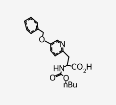 CCCCOC(=O)NC(Cc1ccc(OCc2ccccc2)cn1)C(=O)O